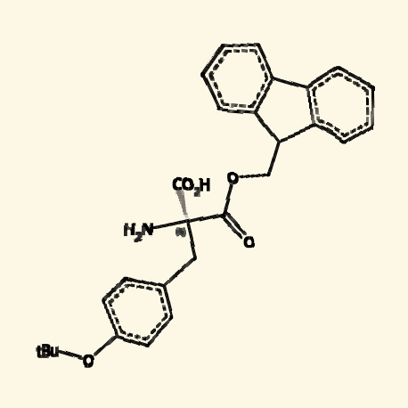 CC(C)(C)Oc1ccc(C[C@](N)(C(=O)O)C(=O)OCC2c3ccccc3-c3ccccc32)cc1